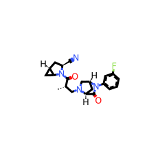 C[C@@H](CN1C[C@@H]2C[C@H]1C(=O)N2c1cccc(F)c1)C(=O)N1C2C[C@H]2C[C@H]1C#N